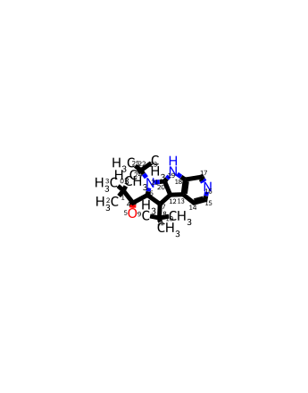 CC(C)(C)C(=O)C1C(C(C)(C)C)C2c3ccncc3NC2N1C(C)(C)C